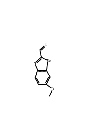 COc1ccc2nc(C=O)[se]c2c1